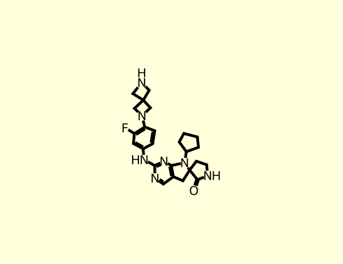 O=C1NCCC12Cc1cnc(Nc3ccc(N4CC5(CNC5)C4)c(F)c3)nc1N2C1CCCC1